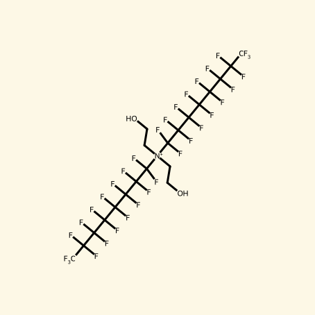 OCC[N+](CCO)(C(F)(F)C(F)(F)C(F)(F)C(F)(F)C(F)(F)C(F)(F)C(F)(F)C(F)(F)F)C(F)(F)C(F)(F)C(F)(F)C(F)(F)C(F)(F)C(F)(F)C(F)(F)C(F)(F)F